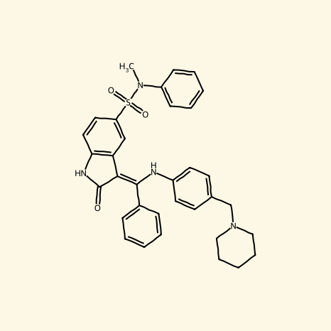 CN(c1ccccc1)S(=O)(=O)c1ccc2c(c1)C(=C(Nc1ccc(CN3CCCCC3)cc1)c1ccccc1)C(=O)N2